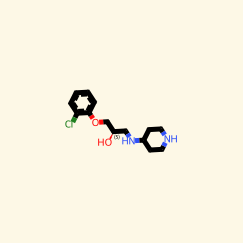 O[C@@H](CNC1CCNCC1)COc1ccccc1Cl